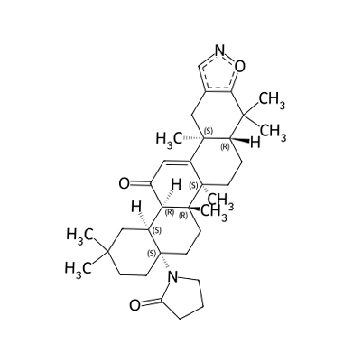 CC1(C)CC[C@]2(N3CCCC3=O)CC[C@]3(C)[C@H](C(=O)C=C4[C@@]5(C)Cc6cnoc6C(C)(C)[C@@H]5CC[C@]43C)[C@@H]2C1